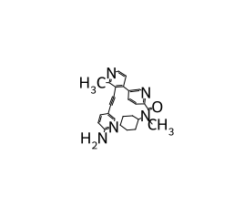 Cc1nccc(-c2ccc(C(=O)N(C)C3CCCCC3)nc2)c1C#Cc1ccc(N)nc1